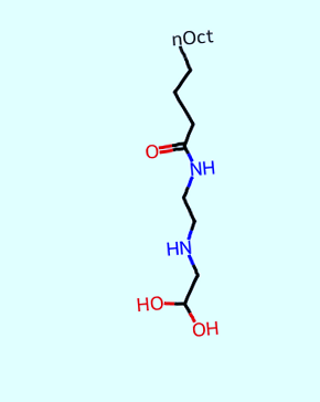 CCCCCCCCCCCC(=O)NCCNCC(O)O